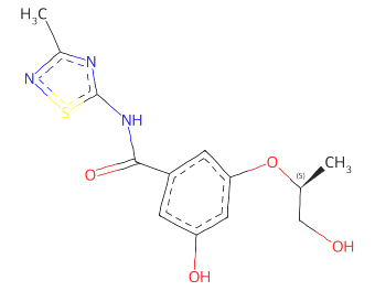 Cc1nsc(NC(=O)c2cc(O)cc(O[C@@H](C)CO)c2)n1